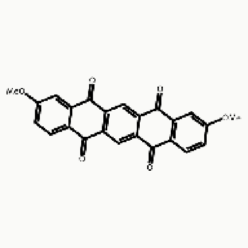 COc1ccc2c(=O)c3cc4c(=O)c5ccc(OC)cc5c(=O)c4cc3c(=O)c2c1